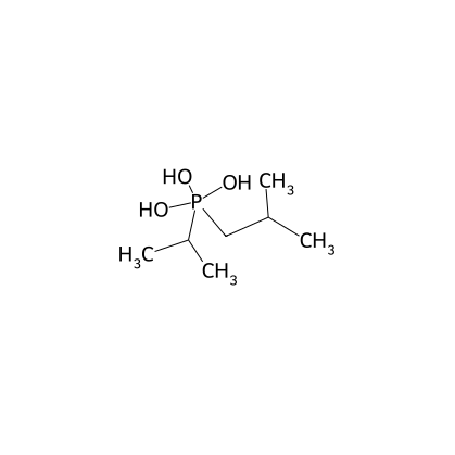 CC(C)CP(O)(O)(O)C(C)C